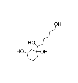 OCCCCCC(O)C1(O)CCCC(O)C1